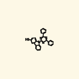 Sc1ccc2c(c1)c1ccccc1n2-c1nc(-c2ccccc2)nc(-c2ccccc2)n1